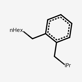 [CH2]CCCCCCc1ccccc1CC(C)C